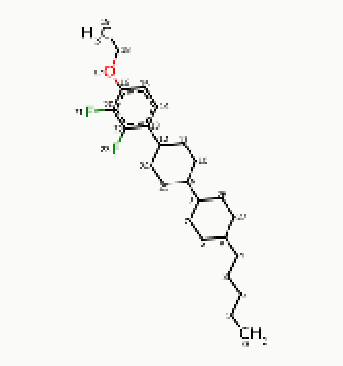 CCCCCC1CCC(C2CCC(c3ccc(OCC)c(F)c3F)CC2)CC1